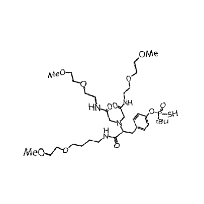 COCCOCCCCNC(=O)C(Cc1ccc(OP(=O)(S)C(C)(C)C)cc1)N(CC(=O)NCCOCCOC)CC(=O)NCCOCCOC